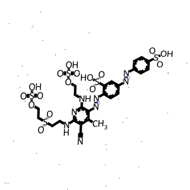 Cc1c(C#N)c(NCCS(=O)(=O)CCOS(=O)(=O)O)nc(NCCOS(=O)(=O)O)c1/N=N/c1ccc(/N=N/c2ccc(S(=O)(=O)O)cc2)cc1S(=O)(=O)O